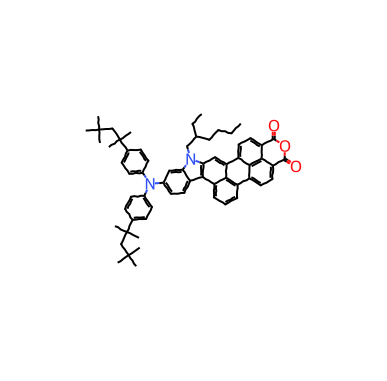 CCCCC(CC)Cn1c2cc(N(c3ccc(C(C)(C)CC(C)(C)C)cc3)c3ccc(C(C)(C)CC(C)(C)C)cc3)ccc2c2c3cccc4c5ccc6c7c(ccc(c(cc21)c43)c75)C(=O)OC6=O